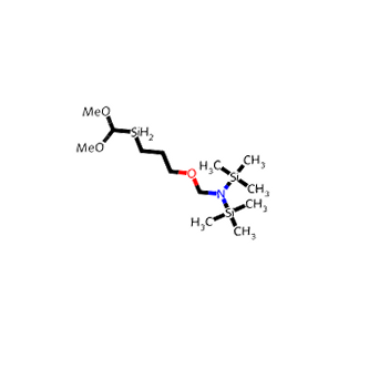 COC(OC)[SiH2]CCCOCN([Si](C)(C)C)[Si](C)(C)C